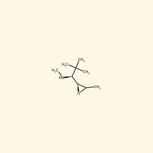 CN[C@H]([C@@H]1OC1C)C(C)(C)C